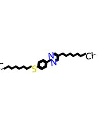 CCCCCCCCCSc1ccc(-c2ncc(CCCCCCCC)cn2)cc1